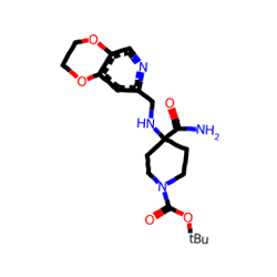 CC(C)(C)OC(=O)N1CCC(NCc2cc3c(cn2)OCCO3)(C(N)=O)CC1